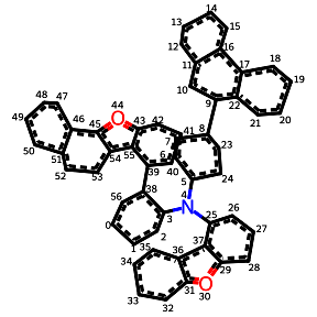 c1ccc(N(c2ccc(-c3cc4ccccc4c4ccccc34)cc2)c2cccc3oc4ccccc4c23)c(-c2cccc3oc4c5ccccc5ccc4c23)c1